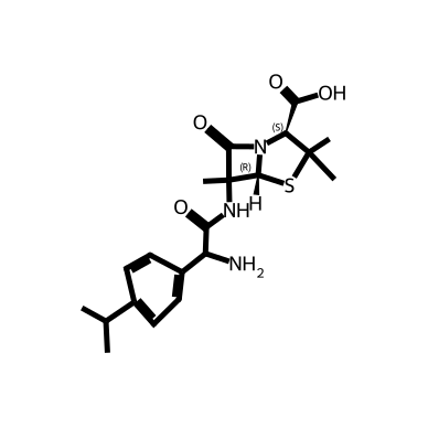 CC(C)c1ccc(C(N)C(=O)NC2(C)C(=O)N3[C@@H](C(=O)O)C(C)(C)S[C@@H]32)cc1